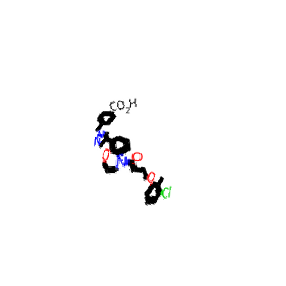 Cc1c(Cl)cccc1OCCCC(=O)N1CCCOc2c(-c3cnn(Cc4ccc(C(=O)O)cc4)c3)cccc21